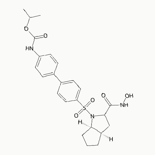 CC(C)OC(=O)Nc1ccc(-c2ccc(S(=O)(=O)N3C(C(=O)NO)C[C@H]4CCC[C@H]43)cc2)cc1